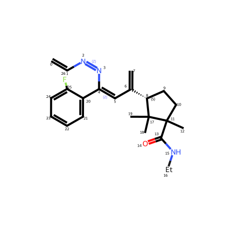 C=C/N=N\C(=C/C(=C)[C@@H]1CCC(C)(C(=O)NCC)C1(C)C)c1ccccc1F